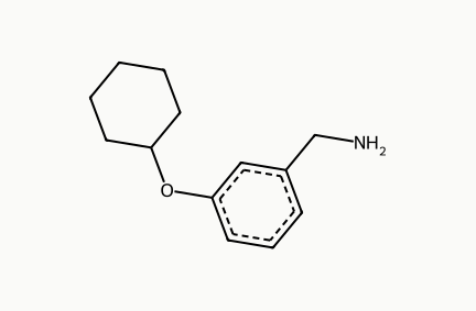 NCc1cccc(OC2CCCCC2)c1